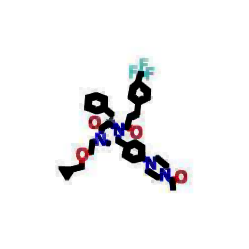 CC(=O)N1CCN(c2ccc(CN(C(=O)C=Cc3ccc(C(F)(F)F)cc3)[C@@H](Cc3ccccc3)C(=O)N(C)CCOCC3CC3)cc2)CC1